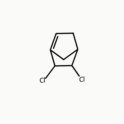 ClC1C2=CCC(C2)C1Cl